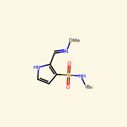 CON=Cc1[nH]ccc1S(=O)(=O)NC(C)(C)C